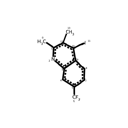 Cc1nc2cc(C(F)(F)F)ccc2c(I)c1C